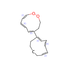 C1=C\CCCCC(/C2=C/C=C/C=C\OOCC2)=C/C=C/1